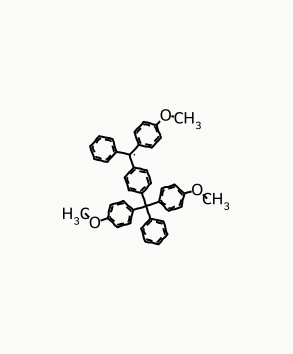 COc1ccc([C](c2ccccc2)c2ccc(C(c3ccccc3)(c3ccc(OC)cc3)c3ccc(OC)cc3)cc2)cc1